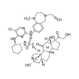 C#CCN1CCN(C)c2cc(Nc3ncc(Cl)c(N[C@@H]4CCCC[C@H]4NS(C)(=O)=O)n3)ccc2C1.C[C@]12CC[C@@H](O)C[C@H]1CC[C@@H]1[C@@H]2C(=O)C[C@@]2(C)[C@H]1CC[C@]2(O)C(=O)CO